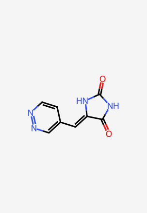 O=C1NC(=O)/C(=C/c2ccnnc2)N1